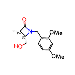 COc1ccc(CN2C(=O)[C@@H](C)[C@H]2CO)c(OC)c1